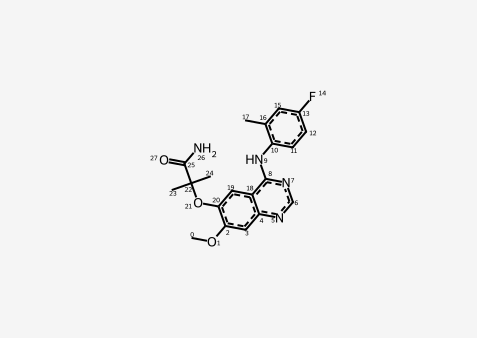 COc1cc2ncnc(Nc3ccc(F)cc3C)c2cc1OC(C)(C)C(N)=O